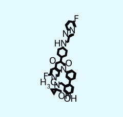 CN(Cc1cc(O)ccc1-c1cccc(N2C(=O)C(C3CCC(NCc4cn5cc(F)ccc5n4)CC3)C(=O)c3cc(F)ncc32)c1)C1(CO)CC1